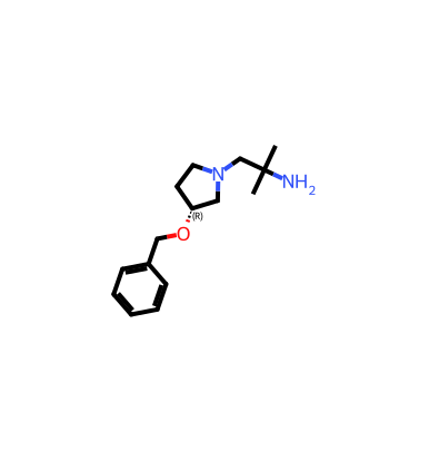 CC(C)(N)CN1CC[C@@H](OCc2ccccc2)C1